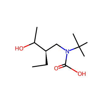 CC[C@H](CN(C(=O)O)C(C)(C)C)C(C)O